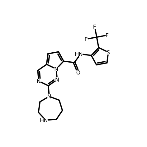 O=C(Nc1ccsc1C(F)(F)F)c1ccc2cnc(N3CCCNCC3)nn12